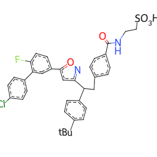 CC(C)(C)c1ccc(C(Cc2ccc(C(=O)NCCS(=O)(=O)O)cc2)c2cc(-c3ccc(F)c(-c4ccc(Cl)cc4)c3)on2)cc1